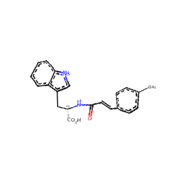 CC(=O)Oc1ccc(C=CC(=O)N[C@@H](Cc2c[nH]c3ccccc23)C(=O)O)cc1